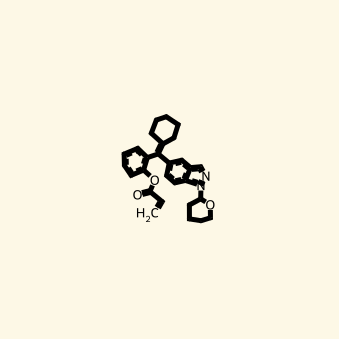 C=CC(=O)Oc1ccccc1C(=C1CCCCC1)c1ccc2c(cnn2C2CCCCO2)c1